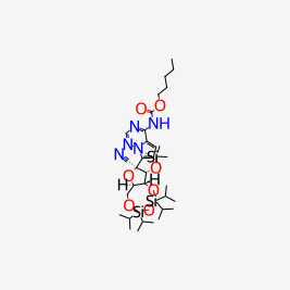 CCCCCOC(=O)Nc1ncnn2c([C@]3(C#N)O[C@@H]4CO[Si](C(C)C)(C(C)C)O[Si](C(C)C)(C(C)C)O[C@H]4[C@H]3O[Si](C)(C)C)ccc12